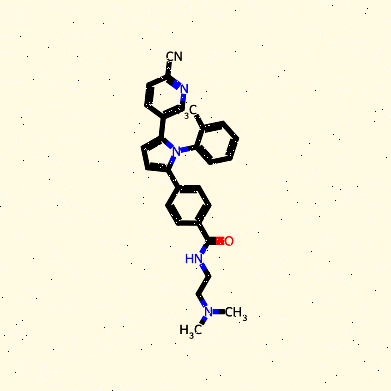 CN(C)CCNC(=O)c1ccc(-c2ccc(-c3ccc(C#N)nc3)n2-c2ccccc2C(F)(F)F)cc1